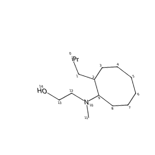 CC(C)CC1CCCCCCC1N(C)CCO